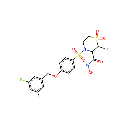 CC1C(C(=O)NO)N(S(=O)(=O)c2ccc(OCc3cc(F)cc(F)c3)cc2)CCS1(=O)=O